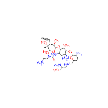 CN[C@@H]1[C@@H](O)[C@@H](O[C@H]2[C@H](NC(=O)N(O)CCN)C[C@H](N)C(O[C@H]3OC(CNCC(N)CO)=CC[C@H]3N)[C@@H]2O)OC[C@]1(C)O